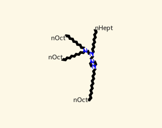 CCCCCCC/C=C/CCCCCCCCN(CCN(CCCCCCCC/C=C\CCCCCCCC)CCCCCCCC/C=C\CCCCCCCC)CCN1CCN(CCCCCCCCCCCC/C=C\CCCCCCCC)CC1